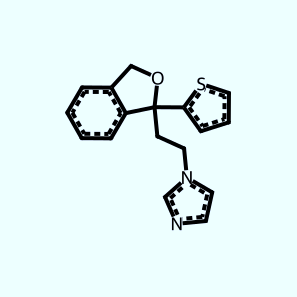 c1csc(C2(CCn3ccnc3)OCc3ccccc32)c1